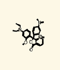 CCN(CC)c1ccc(C2(c3ccc(N(C)C)cc3OC)OC(=O)c3cccnc32)c(OC)c1